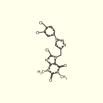 Cn1c(=O)c2c(nc(Cl)n2Cc2cn(-c3ccc(Cl)c(Cl)c3)nn2)n(C)c1=O